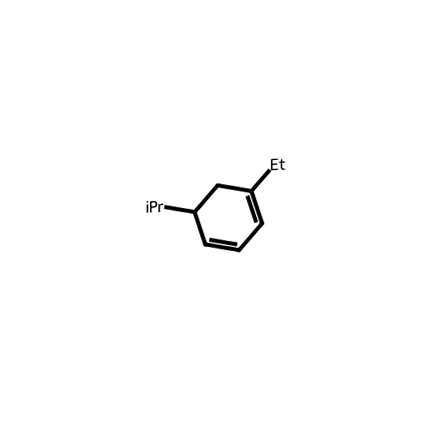 CCC1=CC=CC(C(C)C)C1